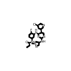 C=CC(=O)Nc1ccc(F)c(Nc2nc(Nc3cnn(C)c3)ncc2-c2cncc(Cl)c2)c1